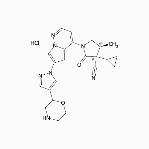 C[C@@H]1CN(c2ccnn3cc(-n4cc(C5CNCCO5)cn4)cc23)C(=O)[C@]1(C#N)C1CC1.Cl